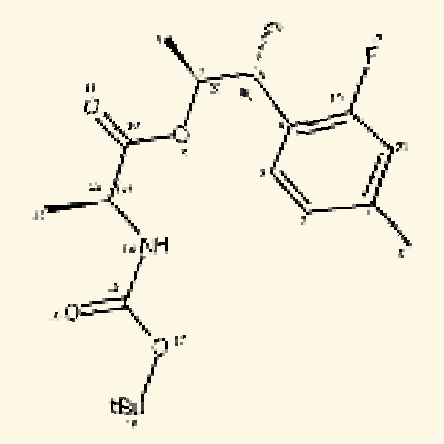 Cc1ccc([C@@H](C)[C@H](C)OC(=O)[C@H](C)NC(=O)OC(C)(C)C)c(F)c1